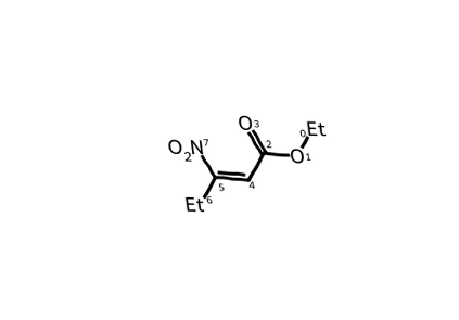 CCOC(=O)C=C(CC)[N+](=O)[O-]